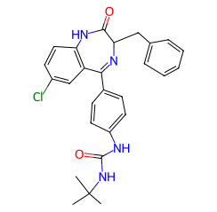 CC(C)(C)NC(=O)Nc1ccc(C2=NC(Cc3ccccc3)C(=O)Nc3ccc(Cl)cc32)cc1